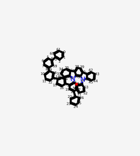 c1ccc(-c2cccc(-c3cccc(-c4ccc(-c5cc(-c6ccccc6)ccc5-n5c6ccccc6c6ccc7c8ccccc8n(-c8ccccc8)c7c65)cc4)c3)c2)cc1